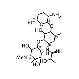 CC[C@@H]1CCC(N)[C@@H](OC2C(O)C(O[C@H]3OCC(C)(O)[C@H](NC)C3O)[C@H](NC(=N)C(C)O)C[C@@H]2C)O1